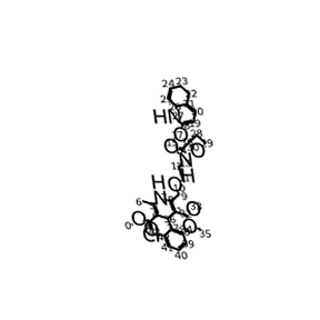 COC(=O)C1=C(C)NC(COCCNC(=O)C2(OC3=CC=C4CCC=CC4N3)CCO2)=C(C(=O)OC)C1c1ccccc1Cl